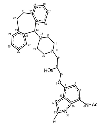 CC(=O)Nc1ccc(OCC(O)CN2CCN(C3c4ccccc4CCc4ccccc43)CC2)c2sc(C)nc12